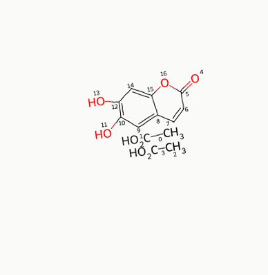 CC(=O)O.CC(=O)O.O=c1ccc2cc(O)c(O)cc2o1